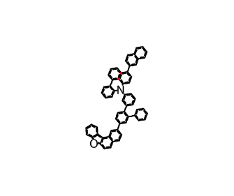 c1ccc(-c2cc(-c3ccc4ccc5oc6ccccc6c5c4c3)ccc2-c2cccc(N(c3ccc(-c4ccc5ccccc5c4)cc3)c3ccccc3-c3ccccc3)c2)cc1